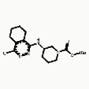 CC(C)(C)OC(=O)N1CCC[C@@H](Nc2nnc(Cl)c3c2CCCC3)C1